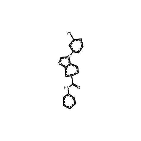 O=C(Nc1ccccc1)c1ccc2c(c1)ncn2-c1cccc(Cl)c1